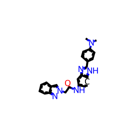 CN(C)c1ccc(-c2nc3cc(NC(=O)Cn4cc5ccccc5n4)ccc3[nH]2)cc1